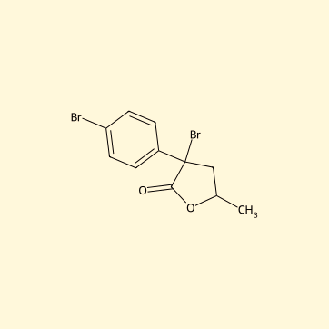 CC1CC(Br)(c2ccc(Br)cc2)C(=O)O1